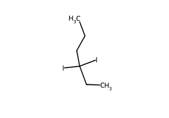 CCCC(I)(I)CC